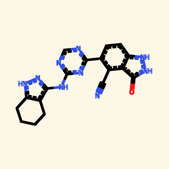 N#Cc1c(-c2ncnc(Nc3n[nH]c4c3CCCC4)n2)ccc2[nH][nH]c(=O)c12